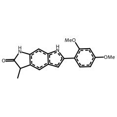 COc1ccc(-c2cc3cc4c(cc3[nH]2)NC(=O)C4C)c(OC)c1